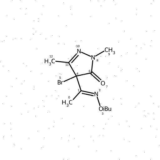 CC(=NOCC(C)C)C1(Br)C(=O)N(C)N=C1C